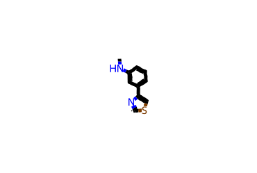 CNc1cccc(-c2cs[c]n2)c1